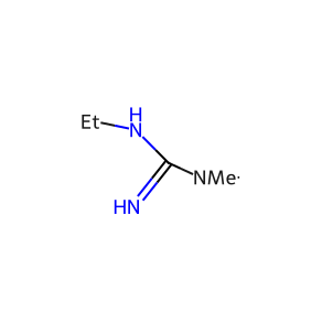 CCNC(=N)[N]C